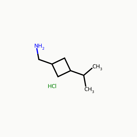 CC(C)C1CC(CN)C1.Cl